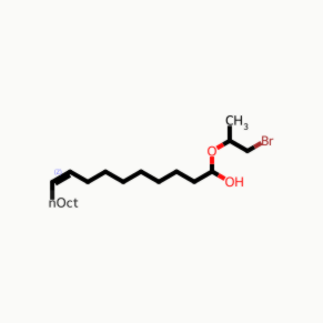 CCCCCCCC/C=C\CCCCCCCC(O)OC(C)CBr